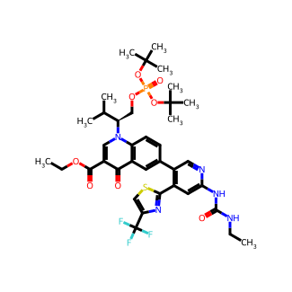 CCNC(=O)Nc1cc(-c2nc(C(F)(F)F)cs2)c(-c2ccc3c(c2)c(=O)c(C(=O)OCC)cn3[C@H](COP(=O)(OC(C)(C)C)OC(C)(C)C)C(C)C)cn1